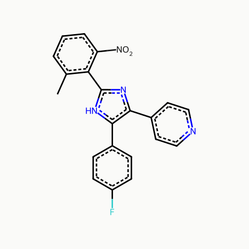 Cc1cccc([N+](=O)[O-])c1-c1nc(-c2ccncc2)c(-c2ccc(F)cc2)[nH]1